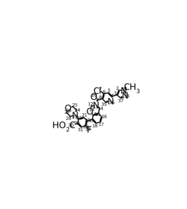 Cn1cc(-c2cc(Cl)c(C(=O)N3COc4c(cccc4-c4cc(N5CCOCC5)c(C(=O)O)cc4F)C3)cn2)cn1